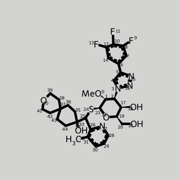 CO[C@@H]1[C@@H](n2cc(-c3cc(F)c(F)c(F)c3)nn2)[C@@H](O)[C@@H](CO)O[C@H]1SC(c1ncccc1C)C1(O)CCC2(CCOCC2)CC1